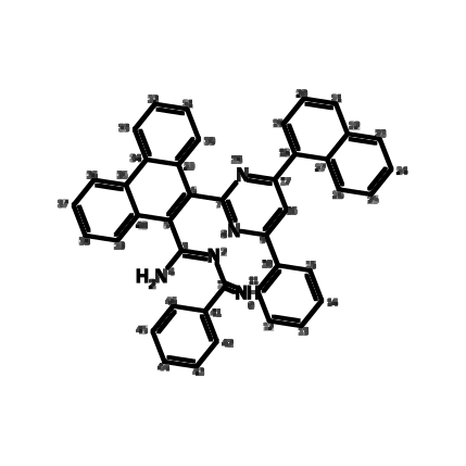 N=C(/N=C(\N)c1c(-c2nc(-c3ccccc3)cc(-c3cccc4ccccc34)n2)c2ccccc2c2ccccc12)c1ccccc1